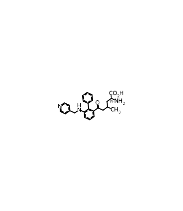 CC(CC(=O)c1cccc(NCc2ccncc2)c1-c1ccccc1)C[C@H](N)C(=O)O